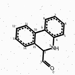 O=CC1Nc2ccccc2-c2ccccc21